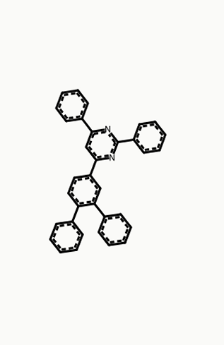 c1ccc(-c2cc(-c3ccc(-c4ccccc4)c(-c4ccccc4)c3)nc(-c3ccccc3)n2)cc1